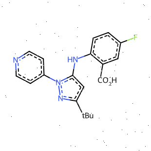 CC(C)(C)c1cc(Nc2ccc(F)cc2C(=O)O)n(-c2ccncc2)n1